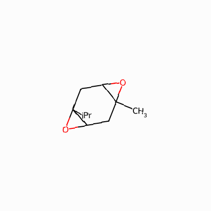 CC(C)C12CC3OC3(C)CC1O2